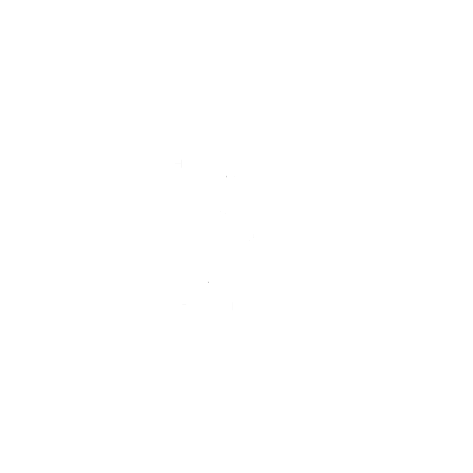 CCOC(=O)/C(=C\S)CC(F)(F)F